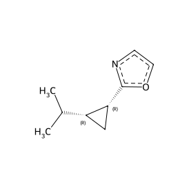 CC(C)[C@H]1C[C@H]1c1ncco1